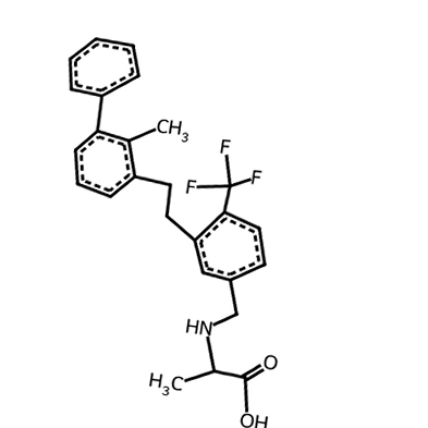 Cc1c(CCc2cc(CNC(C)C(=O)O)ccc2C(F)(F)F)cccc1-c1ccccc1